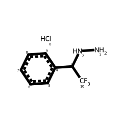 Cl.NNC(c1ccccc1)C(F)(F)F